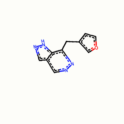 c1cc(Cc2nncc3cn[nH]c23)co1